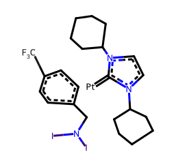 FC(F)(F)c1ccc(CN(I)I)cc1.[Pt]=[c]1n(C2CCCCC2)ccn1C1CCCCC1